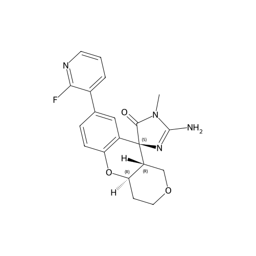 CN1C(=O)[C@@]2(N=C1N)c1cc(-c3cccnc3F)ccc1O[C@@H]1CCOC[C@H]12